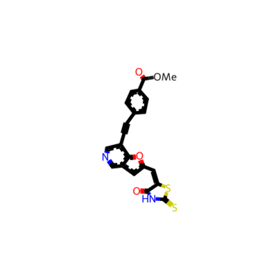 COC(=O)c1ccc(C#Cc2cncc3cc(C=C4SC(=S)NC4=O)oc23)cc1